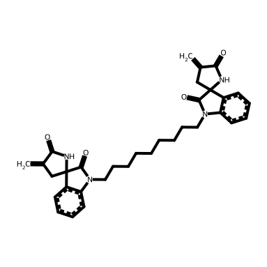 C=C1CC2(NC1=O)C(=O)N(CCCCCCCCCN1C(=O)C3(CC(=C)C(=O)N3)c3ccccc31)c1ccccc12